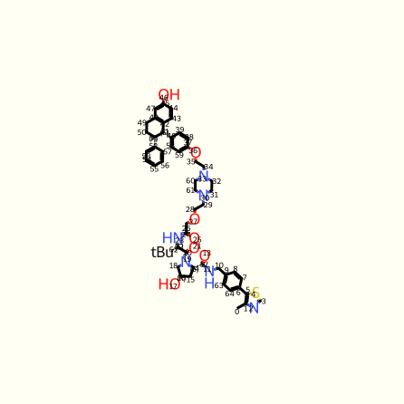 Cc1ncsc1-c1ccc(CNC(=O)[C@@H]2C[C@@H](O)CN2C(=O)[C@@H](NC(=O)COCCN2CCN(CCOc3ccc([C@H]4c5ccc(O)cc5CC[C@H]4c4ccccc4)cc3)CC2)C(C)(C)C)cc1